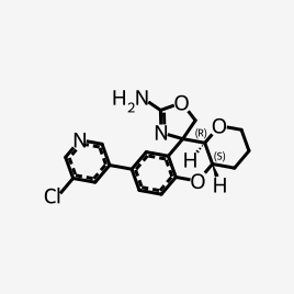 NC1=NC2(CO1)c1cc(-c3cncc(Cl)c3)ccc1O[C@H]1CCCO[C@@H]12